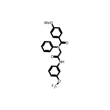 COc1ccc(C(=O)N(CC(=O)Nc2cccc(OC(F)(F)F)c2)c2ccccc2)cc1